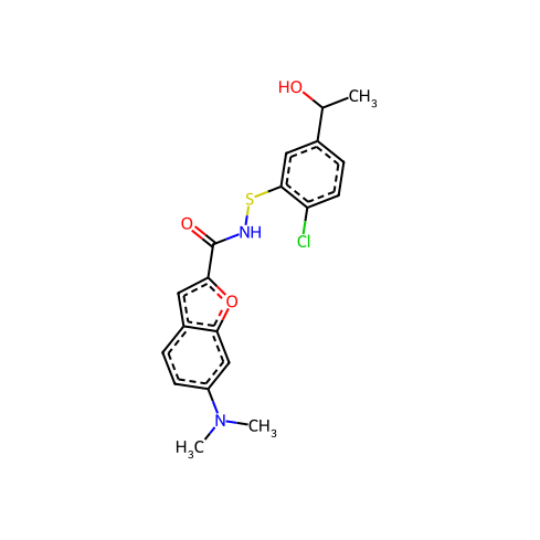 CC(O)c1ccc(Cl)c(SNC(=O)c2cc3ccc(N(C)C)cc3o2)c1